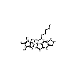 CCCCCCC[C]1([Hf]([CH3])([CH3])[C]2(C)C(C)=C(C)C(C)=C2C)C=Cc2cc3c(cc21)CCC3